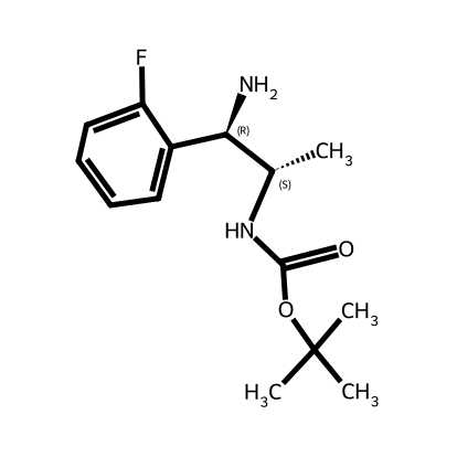 C[C@H](NC(=O)OC(C)(C)C)[C@H](N)c1ccccc1F